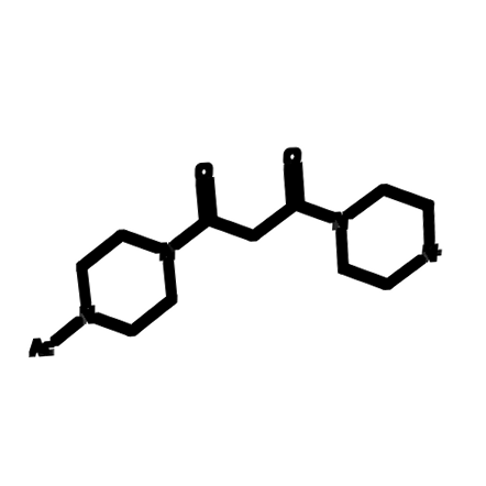 CC(=O)N1CCN(C(=O)CC(=O)N2CC[N]CC2)CC1